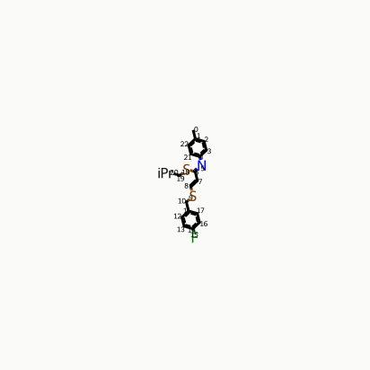 Cc1ccc(N=C(C=CSCc2ccc(F)cc2)SCC(C)C)cc1